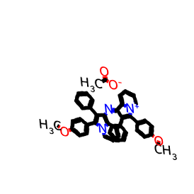 CC(=O)[O-].COc1ccc(C2=C(c3ccccc3)/C(=N\c3c(-c4ccccc4)c(-c4ccc(OC)cc4)n4ccccc34)c3cccc[n+]32)cc1